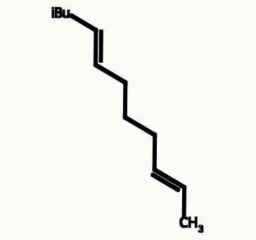 CC=CCCCC=CC(C)CC